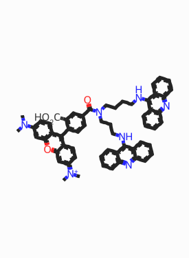 CN(C)c1ccc2c(-c3ccc(C(=O)N(CCCCNc4c5ccccc5nc5ccccc45)CCCNc4c5ccccc5nc5ccccc45)cc3C(=O)O)c3ccc(=[N+](C)C)cc-3oc2c1